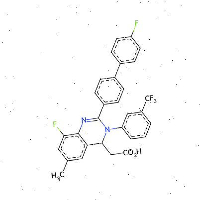 Cc1cc(F)c2c(c1)C(CC(=O)O)N(c1cccc(C(F)(F)F)c1)C(c1ccc(-c3ccc(F)cc3)cc1)=N2